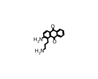 NCCCc1c(N)ccc2c1C(=O)c1ccccc1C2=O